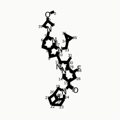 COC1CN(c2ccc3cc(-c4nn5cc(C(=O)N6CC7CC8CC6[C@H]87)cc(F)c5c4C)n(CC4CC4)c3n2)C1